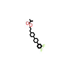 C=C(C)C(=O)OCCCC1CCC(C2CCC(c3ccc(F)c(F)c3)CC2)CC1